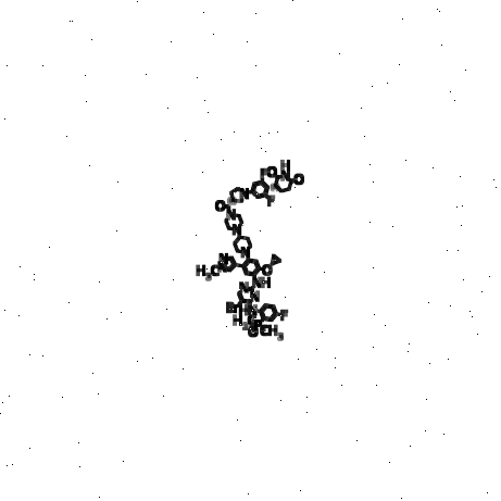 Cn1cc(-c2cc(Nc3ncc(Br)c(Nc4ccc(F)cc4P(C)(C)=O)n3)c(OC3CC3)cc2N2CCC(N3CCN(C(=O)[C@@H]4CCN(c5cc(F)c([C@H]6CCC(=O)NC6=O)c(F)c5)C4)CC3)CC2)cn1